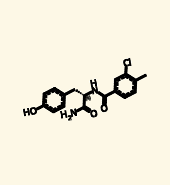 Cc1ccc(C(=O)N[C@@H](Cc2ccc(O)cc2)C(N)=O)cc1Cl